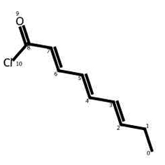 CC/C=C/C=C/C=C/C(=O)Cl